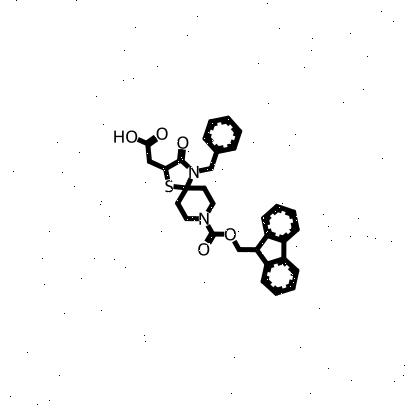 O=C(O)CC1SC2(CCN(C(=O)OCC3c4ccccc4-c4ccccc43)CC2)N(Cc2ccccc2)C1=O